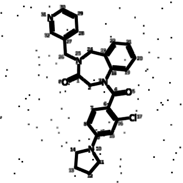 O=C1CN(C(=O)c2ccc(N3CCCC3)cc2Cl)c2ccccc2CN1Cc1cccnc1